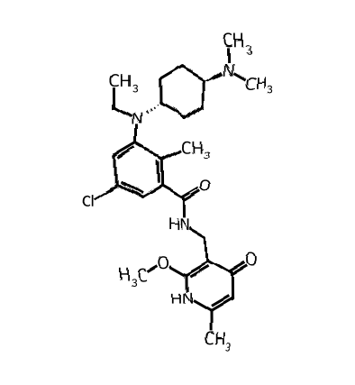 CCN(c1cc(Cl)cc(C(=O)NCc2c(OC)[nH]c(C)cc2=O)c1C)[C@H]1CC[C@H](N(C)C)CC1